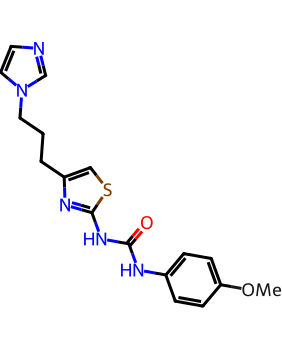 COc1ccc(NC(=O)Nc2nc(CCCn3ccnc3)cs2)cc1